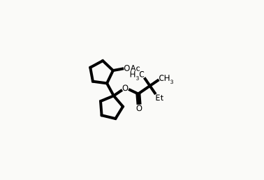 CCC(C)(C)C(=O)OC1(C2CCCC2OC(C)=O)CCCC1